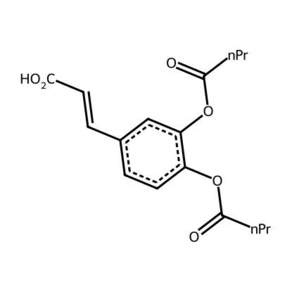 CCCC(=O)Oc1ccc(C=CC(=O)O)cc1OC(=O)CCC